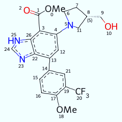 COC(=O)c1c(N2CC[C@H](CO)C2)cc(-c2ccc(OC)c(C(F)(F)F)c2)c2nc[nH]c12